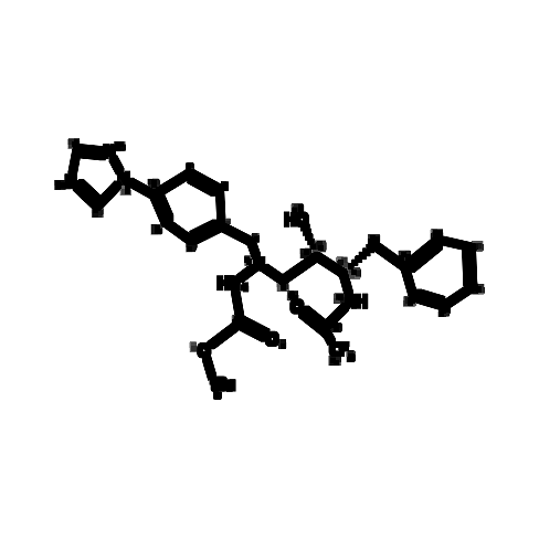 CC(C)(C)OC(=O)NN(Cc1ccc(-n2cncn2)cc1)C[C@H](O)[C@H](Cc1ccccc1)NC(=O)C(F)(F)F